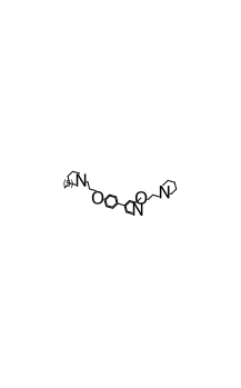 C[C@H]1CCCN(CCCOc2ccc(-c3ccnc(OCCCN4CCCCC4)c3)cc2)C1